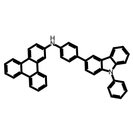 c1ccc(-n2c3ccccc3c3cc(-c4ccc(Nc5ccc6c7ccccc7c7ccccc7c6c5)cc4)ccc32)cc1